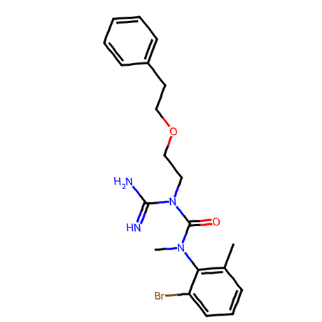 Cc1cccc(Br)c1N(C)C(=O)N(CCOCCc1ccccc1)C(=N)N